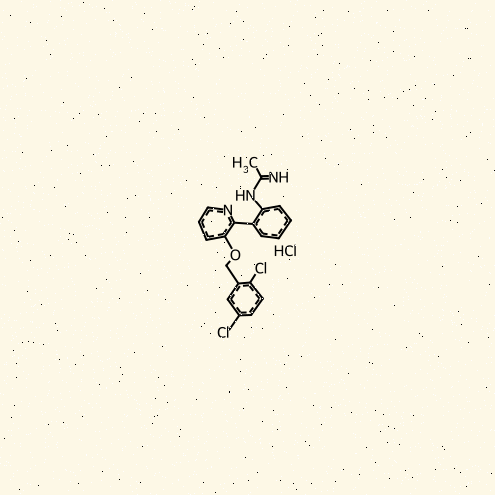 CC(=N)Nc1ccccc1-c1ncccc1OCc1cc(Cl)ccc1Cl.Cl